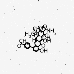 CC(=O)c1ccc(-c2ccc(O)c3c2C[C@@H]2C[C@H]4[C@H](N(C)C)C(O)=C(C(N)=O)C(=O)[C@@]4(O)C(O)=C2C3=O)cc1